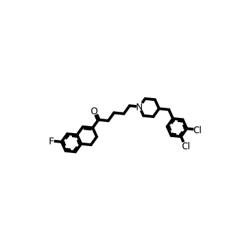 O=C(CCCCN1CCC(Cc2ccc(Cl)c(Cl)c2)CC1)C1=Cc2cc(F)ccc2CC1